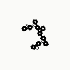 c1ccc2c(c1)oc1cc(-n3c4ccccc4c4ccc(-c5ccc6c(c5)C5(CCCCC5)c5cc7c8ccccc8n(-c8ccc9c(c8)sc8ccccc89)c7cc5-6)cc43)ccc12